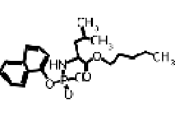 CCCCCOC(=O)C(CC(C)C)NP(=O)(Cl)Oc1cccc2ccccc12